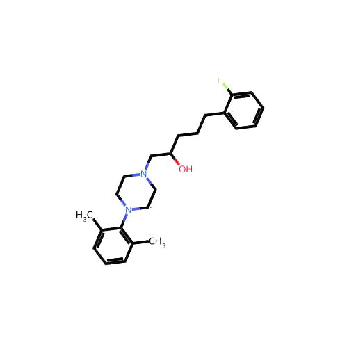 Cc1cccc(C)c1N1[CH]CN(CC(O)CCCc2ccccc2F)CC1